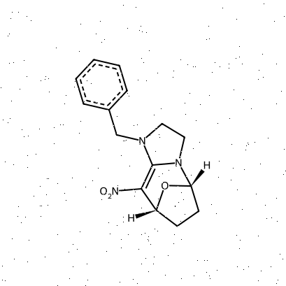 O=[N+]([O-])C1=C2N(Cc3ccccc3)CCN2[C@@H]2CC[C@H]1O2